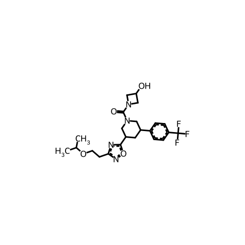 CC(C)OCCc1noc(C2CC(c3ccc(C(F)(F)F)cc3)CN(C(=O)N3CC(O)C3)C2)n1